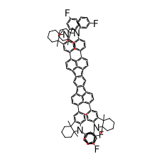 CC12CCCCC1(C)N(c1cccc(F)c1)c1ccc(-c3ccc4c5cc6c(cc5c5ccc(-c7ccc8c(c7)C7(C)CCCCC7(C)N8c7cccc(F)c7)c3c45)c3ccc(-c4ccc5c(c4)C4(C)CCCCC4(C)N5c4cccc(F)c4)c4c(-c5ccc7c(c5)C5(C)CCCCC5(C)N7c5cccc(F)c5)ccc6c43)cc12